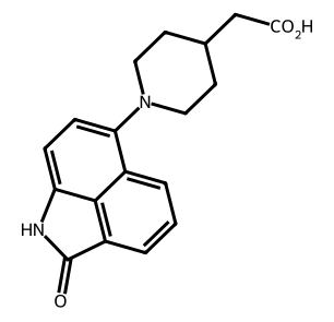 O=C(O)CC1CCN(c2ccc3c4c(cccc24)C(=O)N3)CC1